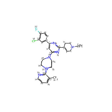 CCCN1CC=C(c2nc(-c3ccc(F)c(Cl)c3)cc(N3CCN(c4ncccc4C(F)(F)F)CC3)n2)CC1